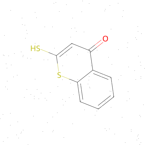 O=c1cc(S)sc2ccccc12